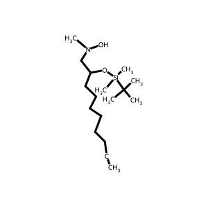 CCCCCCCCC(CN(C)O)O[Si](C)(C)C(C)(C)C